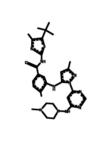 Cc1cc(Nc2cc(C(=O)Nc3nc(C)c(C(C)(C)C)s3)ccc2C)n(-c2cc(NN3CCN(C)CC3)ncn2)n1